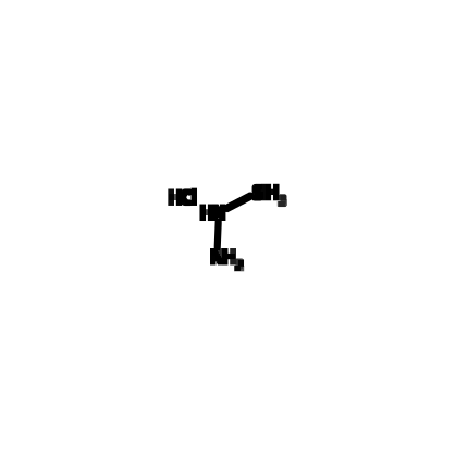 Cl.NN[SiH3]